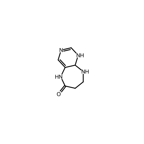 O=C1CCNC2NC=NC=C2N1